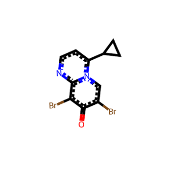 O=c1c(Br)cn2c(C3CC3)ccnc2c1Br